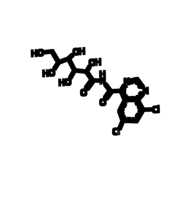 O=C(NC(=O)C(O)C(O)C(O)C(O)CO)c1ncnc2c(Cl)cc(Cl)cc12